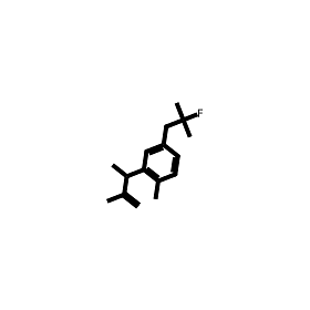 C=C(C)C(C)c1cc(CC(C)(C)F)ccc1C